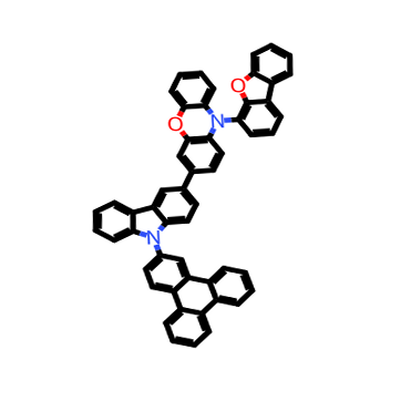 c1ccc2c(c1)Oc1cc(-c3ccc4c(c3)c3ccccc3n4-c3ccc4c5ccccc5c5ccccc5c4c3)ccc1N2c1cccc2c1oc1ccccc12